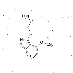 COc1cccc2onc(OCCN)c12